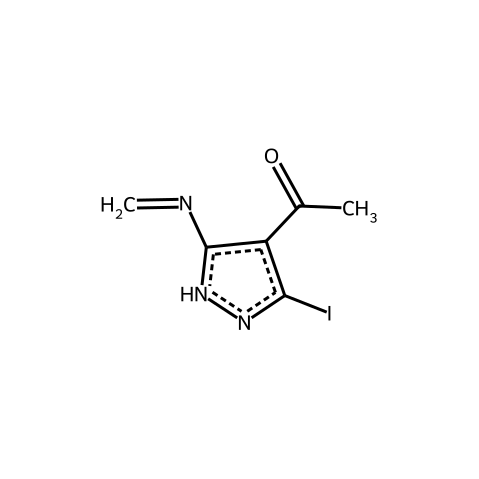 C=Nc1[nH]nc(I)c1C(C)=O